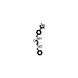 O=C(/C=C/[S+]([O-])Cc1ccccc1)NCc1ccc(-c2csnn2)cc1